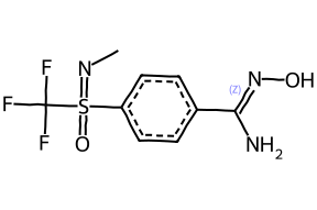 CN=S(=O)(c1ccc(/C(N)=N/O)cc1)C(F)(F)F